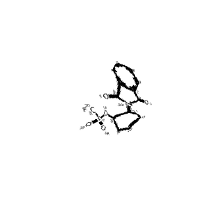 O=C1c2ccccc2C(=O)N1C1C=CCC1OS(=O)(=O)C(F)(F)F